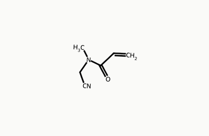 C=CC(=O)N(C)CC#N